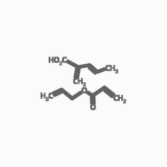 C=C(C=CC)C(=O)O.C=CCOC(=O)C=C